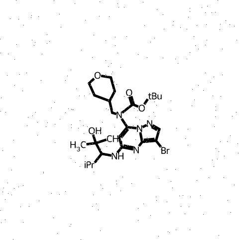 CC(C)C(Nc1cc(N(CC2CCOCC2)C(=O)OC(C)(C)C)n2ncc(Br)c2n1)C(C)(C)O